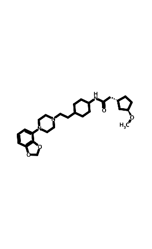 CO[C@@H]1CC[C@@H](CC(=O)NC2CCC(CCN3CCN(c4cccc5c4OCO5)CC3)CC2)C1